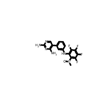 C[S+]([O-])c1c(F)c(F)c(F)c(F)c1Nc1cccc(-c2cnc(N)nc2N)c1